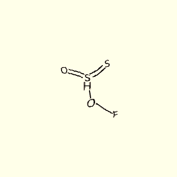 O=[SH](=S)OF